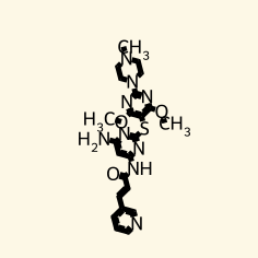 COc1nc(N2CCN(C)CC2)nc(OC)c1Sc1nc(N)cc(NC(=O)C=Cc2cccnc2)n1